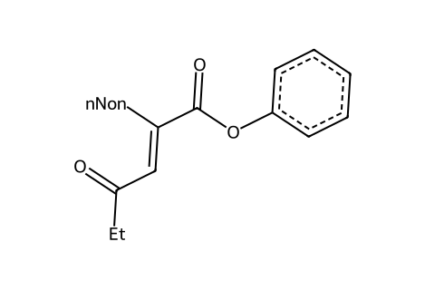 CCCCCCCCCC(=CC(=O)CC)C(=O)Oc1ccccc1